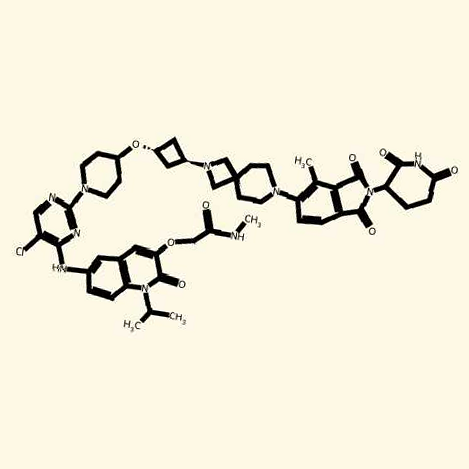 CNC(=O)COc1cc2cc(Nc3nc(N4CCC(O[C@H]5C[C@H](N6CC7(CCN(c8ccc9c(c8C)C(=O)N(C8CCC(=O)NC8=O)C9=O)CC7)C6)C5)CC4)ncc3Cl)ccc2n(C(C)C)c1=O